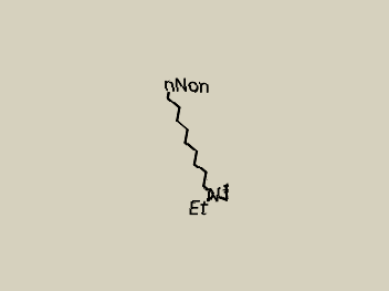 [CH2]C[N+]1(CCCCCCCCCCCCCCCCCC)CC1